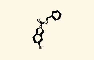 O=C(OCc1ccccc1)n1cc2ccc(Br)cc2c1